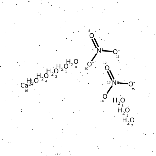 O.O.O.O.O.O.O.O.O=[N+]([O-])[O-].O=[N+]([O-])[O-].[Ca+2]